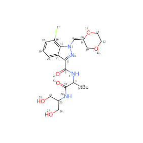 CC(C)(C)C(NC(=O)c1nn(C[C@@H]2COCCO2)c2c(F)cccc12)C(=O)NC(CO)CO